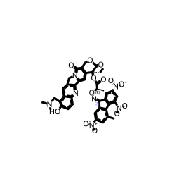 CC[C@@]1(OC(=O)[C@@H](C)O/N=C2/c3cc([N+](=O)[O-])cc(C)c3-c3c2cc([N+](=O)[O-])cc3[N+](=O)[O-])C(=O)OCc2c1cc1n(c2=O)Cc2cc3c(CN(C)C)c(O)ccc3nc2-1